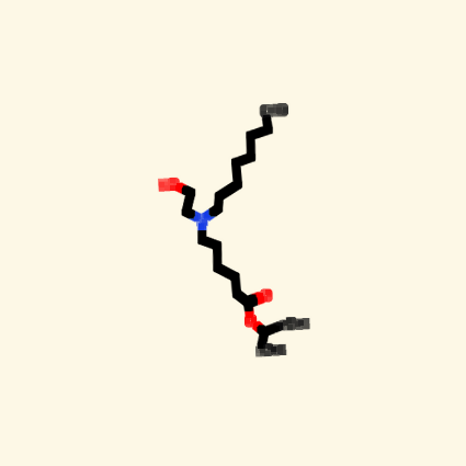 CCCCCCCCCCC(CCCCCCCCCC)OC(=O)CCCCCN(CCO)CCCCCCCC=O